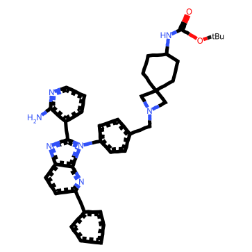 CC(C)(C)OC(=O)NC1CCC2(CC1)CN(Cc1ccc(-n3c(-c4cccnc4N)nc4ccc(-c5ccccc5)nc43)cc1)C2